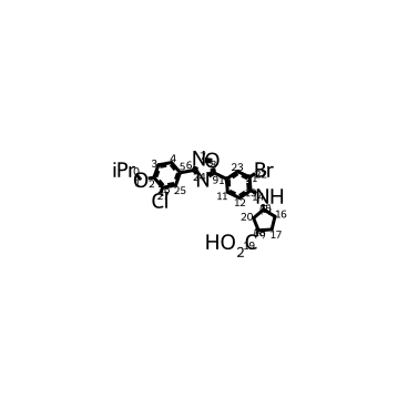 CC(C)Oc1ccc(-c2noc(-c3ccc(N[C@H]4CC[C@@H](C(=O)O)C4)c(Br)c3)n2)cc1Cl